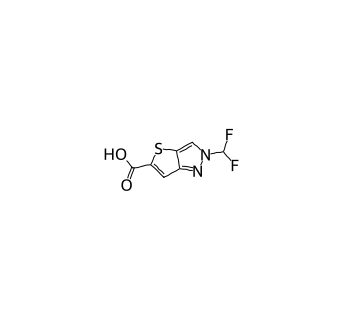 O=C(O)c1cc2nn(C(F)F)cc2s1